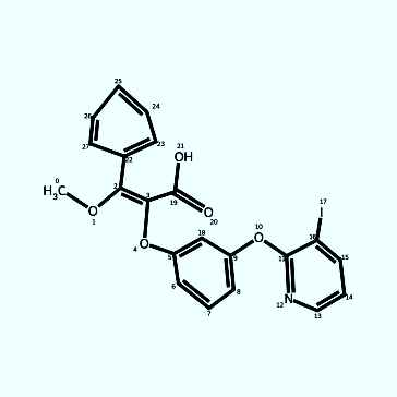 COC(=C(Oc1cccc(Oc2ncccc2I)c1)C(=O)O)c1ccccc1